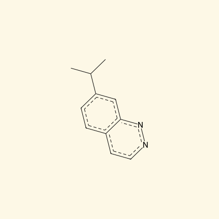 CC(C)c1ccc2ccnnc2c1